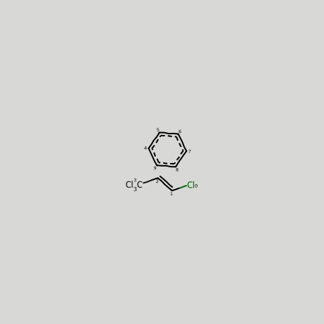 ClC=CC(Cl)(Cl)Cl.c1ccccc1